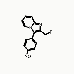 O=Nc1ccc(-c2c(CF)nc3ccccn23)cc1